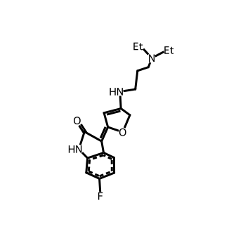 CCN(CC)CCCNC1=CC(=C2C(=O)Nc3cc(F)ccc32)OC1